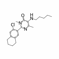 CCCCCNc1c(C)nc(-c2cc3c(cc2Cl)CCCC3)n(C)c1=O